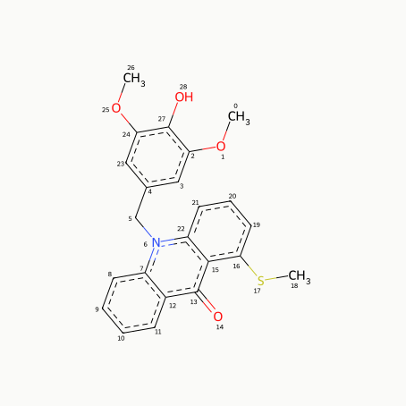 COc1cc(Cn2c3ccccc3c(=O)c3c(SC)cccc32)cc(OC)c1O